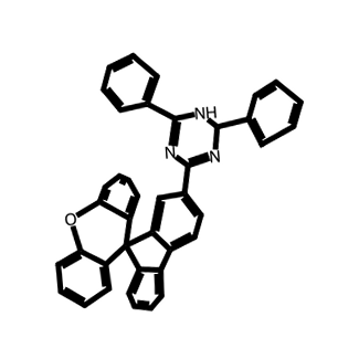 c1ccc(C2=NC(c3ccc4c(c3)C3(c5ccccc5Oc5ccccc53)c3ccccc3-4)=NC(c3ccccc3)N2)cc1